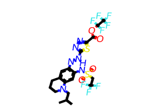 CC(C)CN1CCCc2cc(N=Nc3nnc(C(=O)OC(F)(F)C(F)(F)F)s3)c(NS(=O)(=O)CC(F)(F)F)cc21